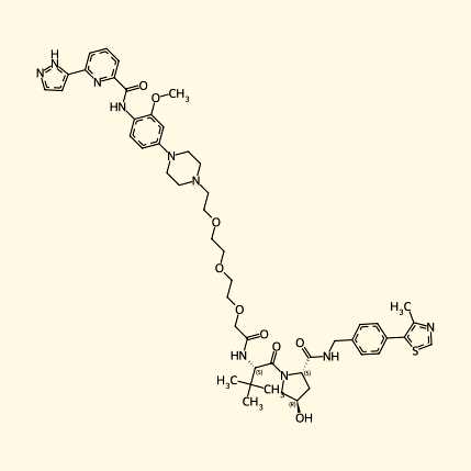 COc1cc(N2CCN(CCOCCOCCOCC(=O)N[C@H](C(=O)N3C[C@H](O)C[C@H]3C(=O)NCc3ccc(-c4scnc4C)cc3)C(C)(C)C)CC2)ccc1NC(=O)c1cccc(-c2ccn[nH]2)n1